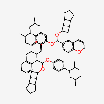 CC(C)CC(c1ccc(OC(OC2CC3C4CCCC4C23)C2C3=C(CCC=C3)CC3C(CC(C)C(CC(C)C)c4ccc(OC(OC5CC6C7CCCC7C56)c5ccc6c(c5)C=CCO6)cc4)=CC=CC32)cc1)C(C)C